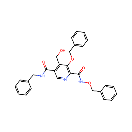 O=C(NCc1ccccc1)c1cnc(C(=O)NOCc2ccccc2)c(OCc2ccccc2)c1CO